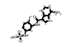 CCCS(=O)(=O)Nc1ccc(F)c(NC(=O)c2csc3c(N)ncnc23)c1